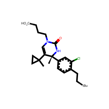 CC(C)(C)CCc1ccc([C@@]2(C)NC(=O)N(CCCC(=O)O)C=C2C2(C)CC2)cc1Cl